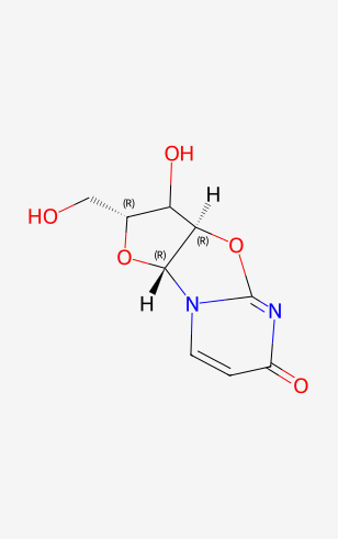 O=c1ccn2c(n1)O[C@@H]1C(O)[C@@H](CO)O[C@H]12